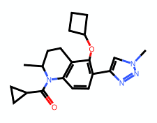 CC1CCc2c(ccc(-c3cn(C)nn3)c2OC2CCC2)N1C(=O)C1CC1